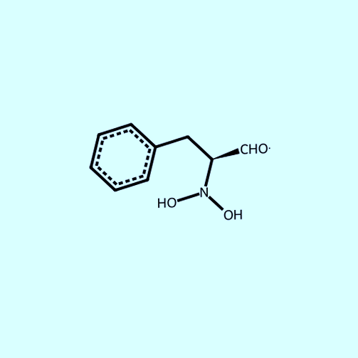 O=[C][C@H](Cc1ccccc1)N(O)O